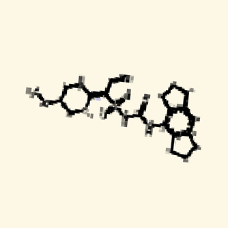 COC1CN/C(=C(\C=N)S(=O)(=O)NC(=O)Nc2c3c(cc4c2CCC4)CCC3)OC1